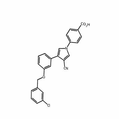 N#Cc1cn(-c2ccc(C(=O)O)cc2)cc1-c1cccc(OCc2cccc(Cl)c2)c1